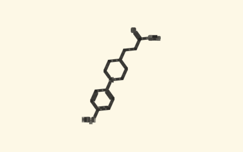 COC(=O)CCC1CCN(c2ccc(C(=O)O)cc2)CC1